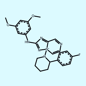 COc1cc(NC2=N[N+]3(N4CCCCC4c4ccc(F)cc4)C=CN=CC3=N2)cc(OC)c1